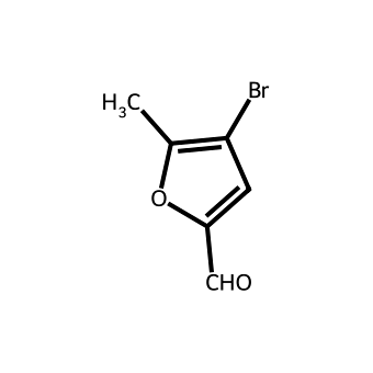 Cc1oc(C=O)cc1Br